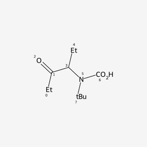 CCC(=O)C(CC)N(C(=O)O)C(C)(C)C